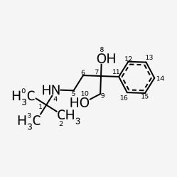 CC(C)(C)NCCC(O)(CO)c1ccccc1